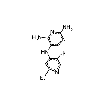 CCc1cc(Nc2cnc(N)nc2N)c(C(C)C)cn1